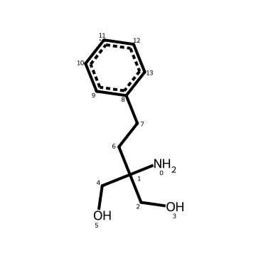 NC(CO)(CO)CCc1cc[c]cc1